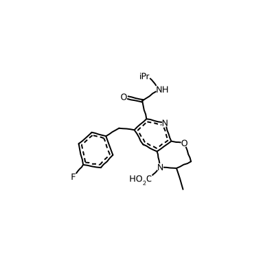 CC(C)NC(=O)c1nc2c(cc1Cc1ccc(F)cc1)N(C(=O)O)C(C)CO2